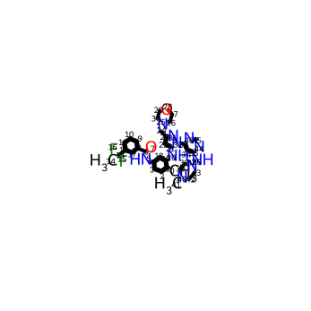 Cc1ccc(NC(=O)c2cccc(C(C)(F)F)c2)cc1Nc1cc(CN2CCOCC2)nn1-c1cc(NN2CCN(C)CC2)ncn1